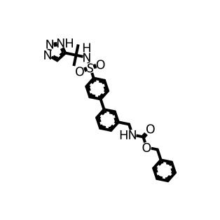 CC(C)(NS(=O)(=O)c1ccc(-c2cccc(CNC(=O)OCc3ccccc3)c2)cc1)c1cnn[nH]1